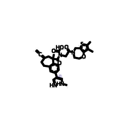 C=C=C1CCc2cc(/C(C=N)=C/NC)ccc2C(C)(C(=O)N(CC(=O)N2CCOc3c(sc(C)c3C)C2)C(=O)O)C1